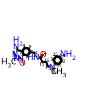 CN(N=O)/N=C(/N)c1ccc(CNC(=O)CCCN(C)c2ccc(N)cc2)cc1